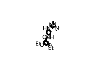 CCOc1cc(OCC)cc(C(=O)N[C@H]2CC[C@@H](Nc3cc(N(C)C)nc(C)n3)CC2)c1